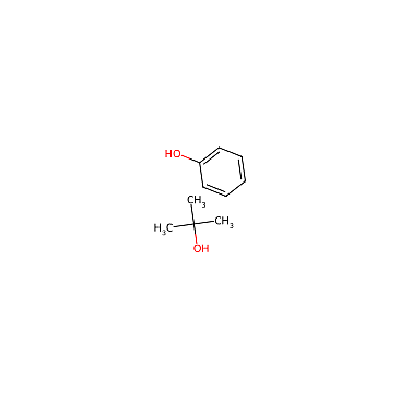 CC(C)(C)O.Oc1ccccc1